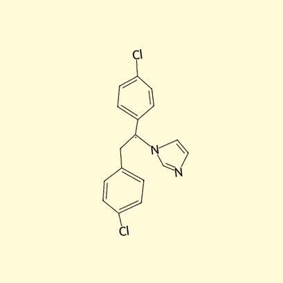 Clc1ccc(C[C](c2ccc(Cl)cc2)n2ccnc2)cc1